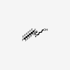 CN(CCCCO)S(=O)(=O)C(F)(F)C(F)(F)C(F)(F)C(F)(F)C(F)(F)C(F)(F)F